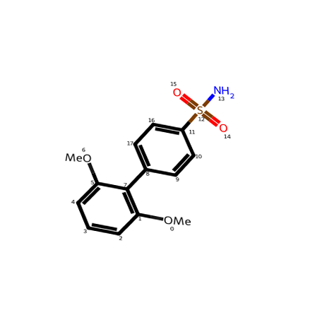 COc1cccc(OC)c1-c1ccc(S(N)(=O)=O)cc1